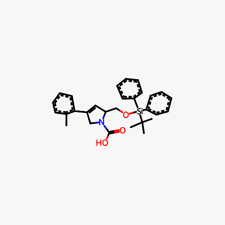 Cc1ccccc1C1=CC(CO[Si](c2ccccc2)(c2ccccc2)C(C)(C)C)N(C(=O)O)C1